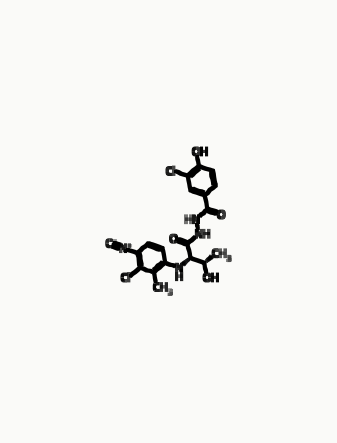 [C-]#[N+]c1ccc(N[C@@H](C(=O)NNC(=O)c2ccc(O)c(Cl)c2)[C@@H](C)O)c(C)c1Cl